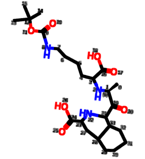 C[C@H](NC(CCCCNC(=O)OC(C)(C)C)C(=O)O)C(=O)C1NC(C(=O)O)CC2CCCCC21